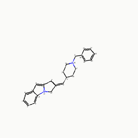 C(=C1/Cc2cc3ccccc3n2C1)/C1CCN(Cc2ccccc2)CC1